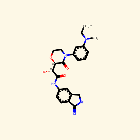 CCOC(=O)CN(C)c1cccc(N2CCO[C@H]([C@@H](O)C(=O)Nc3ccc4c(c3)CNC4=N)C2=O)c1